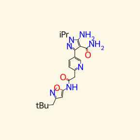 CC(C)n1nc(-c2ccc(CC(=O)Nc3cc(CC(C)(C)C)no3)nc2)c(C(N)=O)c1N